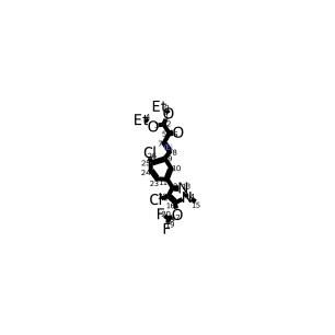 CCOC(OCC)C(=O)/C=C/c1cc(-c2nn(C)c(OC(F)F)c2Cl)ccc1Cl